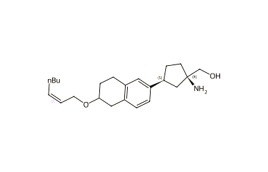 CCCC/C=C\COC1CCc2cc([C@H]3CC[C@](N)(CO)C3)ccc2C1